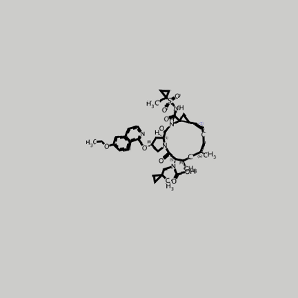 CCOc1ccc2c(O[C@@H]3C[C@H]4C(=O)NC5(C(=O)NS(=O)(=O)C6(C)CC6)CC5/C=C\CC[C@H](C)C[C@@H](C)[C@H](N(CC5(C)CC5)C(=O)O)C(=O)N4C3)nccc2c1